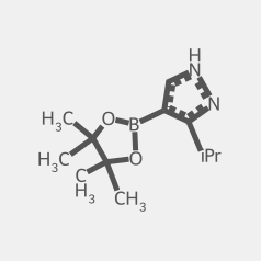 CC(C)c1n[nH]cc1B1OC(C)(C)C(C)(C)O1